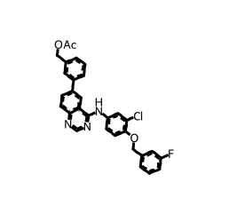 CC(=O)OCc1cccc(-c2ccc3ncnc(Nc4ccc(OCc5cccc(F)c5)c(Cl)c4)c3c2)c1